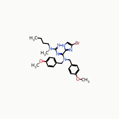 CCCCN(C)c1nc(N(Cc2ccc(OC)cc2)Cc2ccc(OC)cc2)c2nc(Br)cn2n1